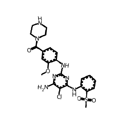 COc1cc(C(=O)N2CCNCC2)ccc1Nc1nc(N)c(Cl)c(Nc2ccccc2S(C)(=O)=O)n1